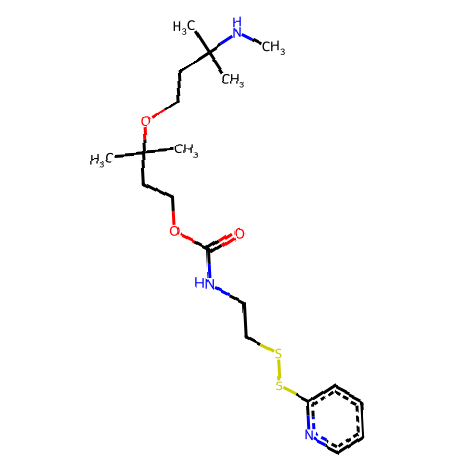 CNC(C)(C)CCOC(C)(C)CCOC(=O)NCCSSc1ccccn1